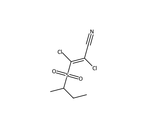 CCC(C)S(=O)(=O)C(Cl)=C(Cl)C#N